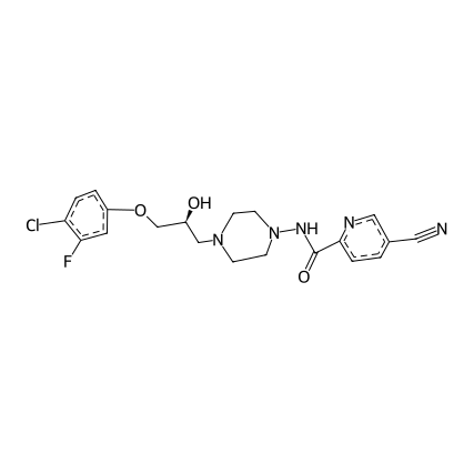 N#Cc1ccc(C(=O)NN2CCN(C[C@H](O)COc3ccc(Cl)c(F)c3)CC2)nc1